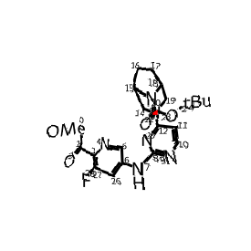 COC(=O)c1ncc(Nc2nccc(N3CC4CCC(C3)N4C(=O)OC(C)(C)C)n2)cc1F